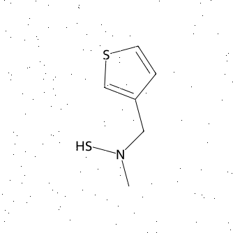 CN(S)Cc1ccsc1